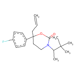 C=CCC1(c2ccc(F)cc2)CCN(C(C)C(C)(C)C)C(=O)O1